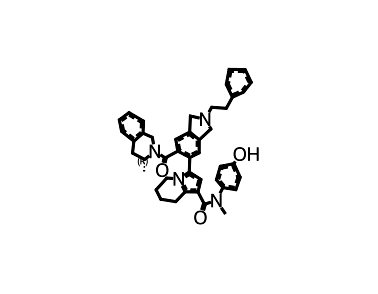 C[C@@H]1Cc2ccccc2CN1C(=O)c1cc2c(cc1-c1cc(C(=O)N(C)c3ccc(O)cc3)c3n1CCCC3)CN(CCc1ccccc1)C2